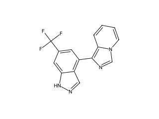 FC(F)(F)c1cc(-c2ncn3ccccc23)c2cn[nH]c2c1